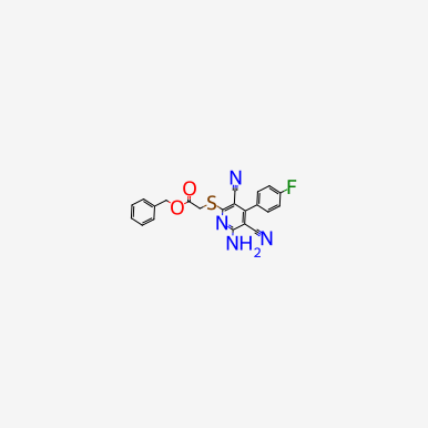 N#Cc1c(N)nc(SCC(=O)OCc2ccccc2)c(C#N)c1-c1ccc(F)cc1